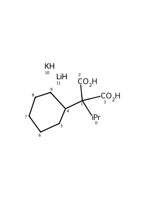 CC(C)C(C(=O)O)(C(=O)O)C1CCCCC1.[KH].[LiH]